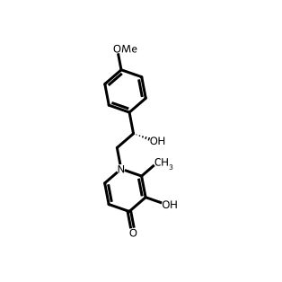 COc1ccc([C@H](O)Cn2ccc(=O)c(O)c2C)cc1